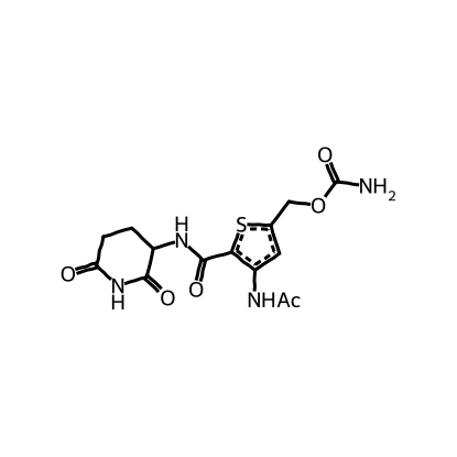 CC(=O)Nc1cc(COC(N)=O)sc1C(=O)NC1CCC(=O)NC1=O